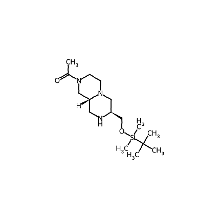 CC(=O)N1CCN2C[C@@H](CO[Si](C)(C)C(C)(C)C)NC[C@@H]2C1